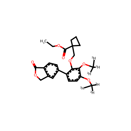 [2H]C([2H])([2H])Oc1ccc(-c2ccc3c(c2)COC3=O)c(OCC2(C(=O)OCC)CCC2)c1OC([2H])([2H])[2H]